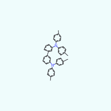 Cc1ccc(N(c2ccc(C)cc2)c2cccc(-c3cccc(N(c4ccc(C)cc4)c4ccc(C)cc4)c3)c2)cc1